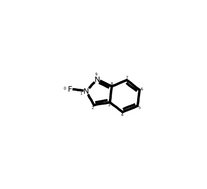 Fn1cc2ccccc2n1